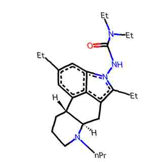 CCCN1CCC[C@@H]2c3cc(CC)cc4c3c(c(CC)n4NC(=O)N(CC)CC)C[C@H]21